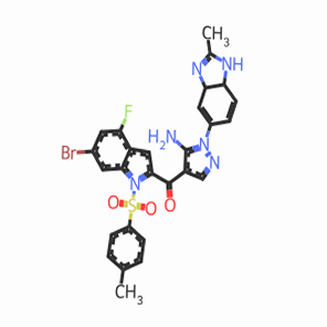 CC1=NC2C=C(n3ncc(C(=O)c4cc5c(F)cc(Br)cc5n4S(=O)(=O)c4ccc(C)cc4)c3N)C=CC2N1